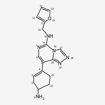 NC1CC=C(c2cnc(NCc3ccco3)n3cnnc23)CC1